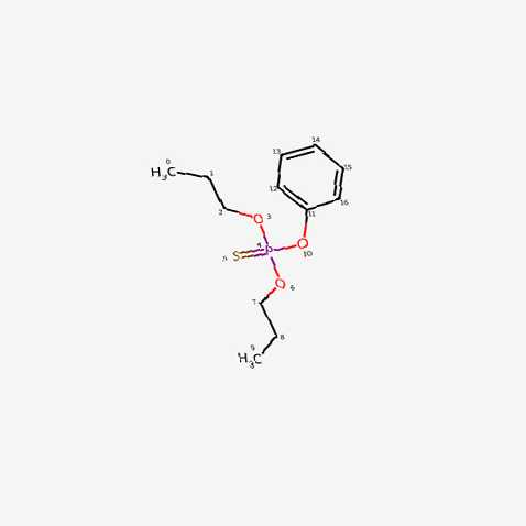 CCCOP(=S)(OCCC)Oc1ccccc1